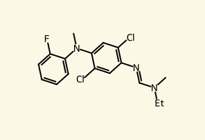 CCN(C)C=Nc1cc(Cl)c(N(C)c2ccccc2F)cc1Cl